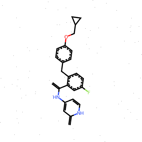 C=C1C=C(NC(=C)c2cc(F)ccc2Cc2ccc(OCC3CC3)cc2)C=CN1